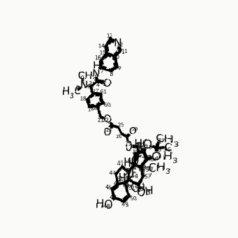 CN(C)[C@@H](C(=O)Nc1ccc2cnccc2c1)c1ccc(COC(=O)CCC(=O)OCC(=O)[C@@]23OC(C)(C)O[C@@H]2C[C@H]2[C@@H]4CCC5=CC(O)C=C[C@]5(C)[C@@]4(F)[C@@H](O)C[C@@]23C)cc1